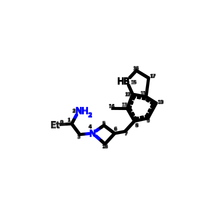 CCC(N)CN1CC(Cc2ccc3c(c2C)BCC3)C1